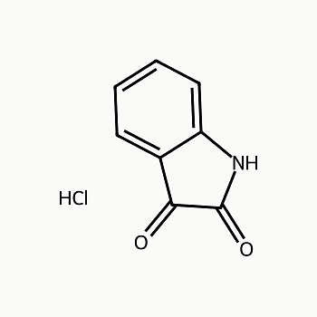 Cl.O=C1Nc2ccccc2C1=O